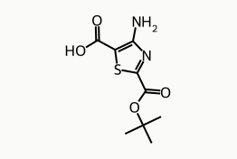 CC(C)(C)OC(=O)c1nc(N)c(C(=O)O)s1